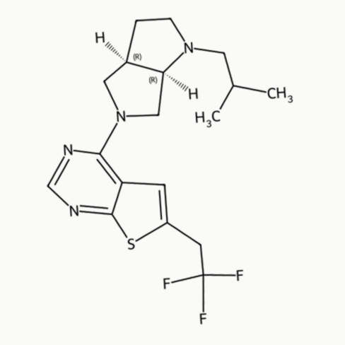 CC(C)CN1CC[C@@H]2CN(c3ncnc4sc(CC(F)(F)F)cc34)C[C@@H]21